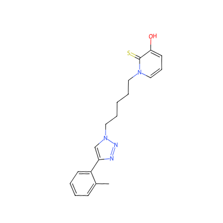 Cc1ccccc1-c1cn(CCCCCn2cccc(O)c2=S)nn1